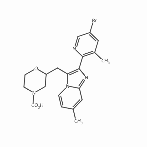 Cc1ccn2c(CC3CN(C(=O)O)CCO3)c(-c3ncc(Br)cc3C)nc2c1